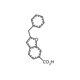 O=C(O)c1ccc2cc(Cc3ccccc3)oc2c1